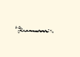 CCCCCCCCCCCCCCCCCCC(=O)OO